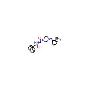 Bc1ccccc1CN1CCN(C(=O)CNC(=O)CC23CC4CC(CC(C4)C2)C3)CC1